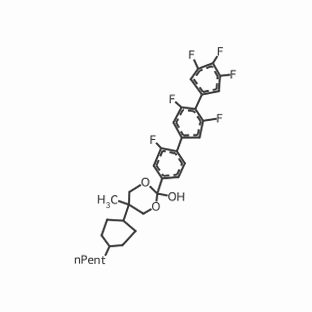 CCCCCC1CCC(C2(C)COC(O)(c3ccc(-c4cc(F)c(-c5cc(F)c(F)c(F)c5)c(F)c4)c(F)c3)OC2)CC1